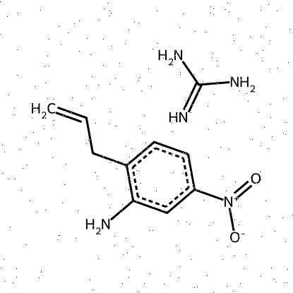 C=CCc1ccc([N+](=O)[O-])cc1N.N=C(N)N